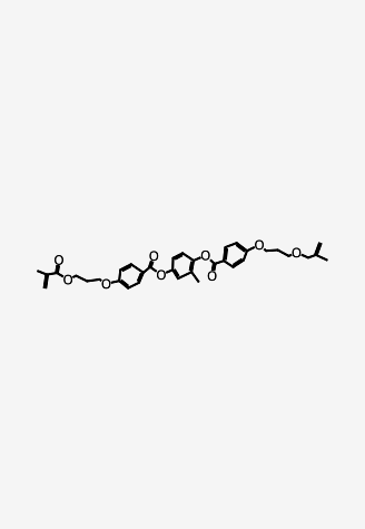 C=C(C)COCCCOc1ccc(C(=O)Oc2ccc(OC(=O)c3ccc(OCCCOC(=O)C(=C)C)cc3)cc2C)cc1